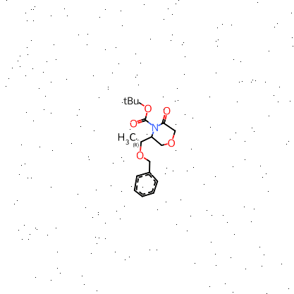 C[C@@H](OCc1ccccc1)C1COCC(=O)N1C(=O)OC(C)(C)C